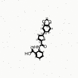 O=C(Nc1ccccc1C(=O)O)c1ccc(-c2ccc3c(c2)OCO3)s1